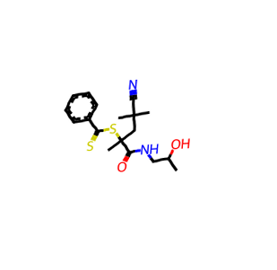 CC(O)CNC(=O)C(C)(CC(C)(C)C#N)SC(=S)c1ccccc1